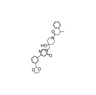 CC(CC(=O)N1CCC(O)(Cn2cnc(-c3cccc(C4OCCO4)c3)cc2=O)CC1)c1ccccc1